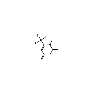 C=C/C=C(\N(C)C(C)C)C(F)(F)F